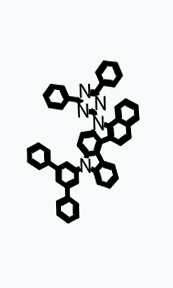 c1ccc(-c2cc(-c3ccccc3)cc(-n3c4ccccc4c4c5c6ccc7ccccc7c6n(-c6nc(-c7ccccc7)nc(-c7ccccc7)n6)c5ccc43)c2)cc1